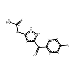 Cc1ccc(C(=O)c2cc(CC(=O)O)on2)cc1